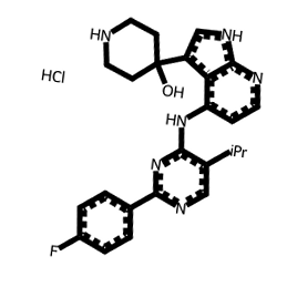 CC(C)c1cnc(-c2ccc(F)cc2)nc1Nc1ccnc2[nH]cc(C3(O)CCNCC3)c12.Cl